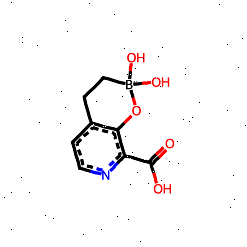 O=C(O)c1nccc2c1O[B-](O)(O)CC2